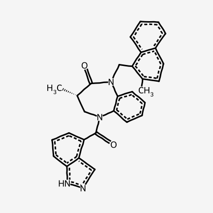 Cc1ccc2ccccc2c1CN1C(=O)[C@@H](C)CN(C(=O)c2cccc3[nH]ncc23)c2ccccc21